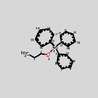 CCC[O][Sn]([c]1ccccc1)([c]1ccccc1)[c]1ccccc1